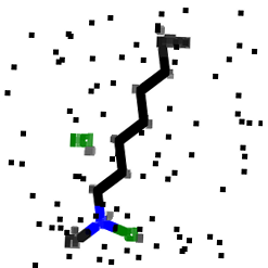 CCCCCCCCCCCCN(Cl)CC.Cl